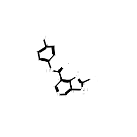 O=C(Nc1ccc(C(F)(F)F)cc1)c1cncc2[nH]c(C(F)(F)F)nc12